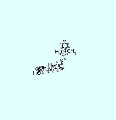 CC(C)(CCCCSc1ccc(CNCCCP(=O)(O)O)cc1F)c1ccccc1